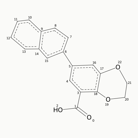 O=C(O)c1cc(-c2ccc3ccccc3c2)cc2c1OCCO2